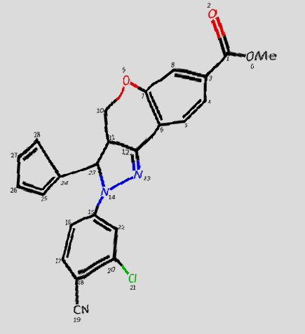 COC(=O)c1ccc2c(c1)OCC1C2=NN(c2ccc(C#N)c(Cl)c2)C1C1=C=CC=C1